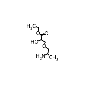 CCOC(=O)C(O)COCC(C)N